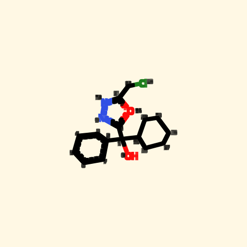 OC(c1ccccc1)(c1nnc(CCl)o1)C1CCCCC1